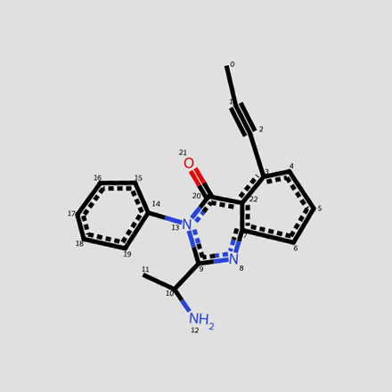 CC#Cc1cccc2nc(C(C)N)n(-c3ccccc3)c(=O)c12